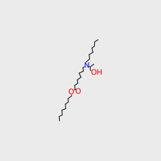 CCCCCCCCCOC(=O)CCCCCCCN(CCCCCCCC)C(C)CO